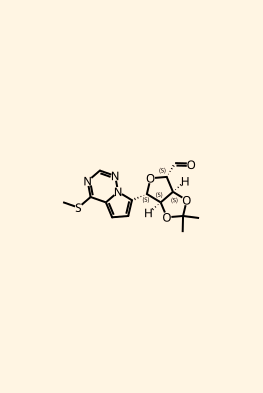 CSc1ncnn2c([C@@H]3O[C@H](C=O)[C@H]4OC(C)(C)O[C@H]43)ccc12